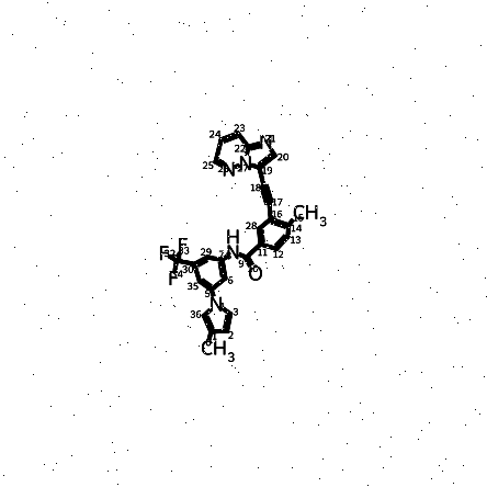 Cc1ccn(-c2cc(NC(=O)c3ccc(C)c(C#Cc4cnc5cccnn45)c3)cc(C(F)(F)F)c2)c1